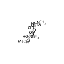 COc1cc([C@@H](CO)NC(=O)[C@@H](C)N2Cc3ccc(-c4nc(Nc5ccnc(C)n5)ncc4Cl)cc3C2=O)ccn1